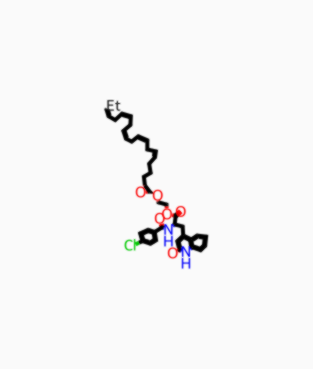 CC/C=C\C/C=C\C/C=C\C/C=C\C/C=C\CCCC1O[C@@H]1OCCOC(=O)C(Cc1cc(=O)[nH]c2ccccc12)NC(=O)c1ccc(Cl)cc1